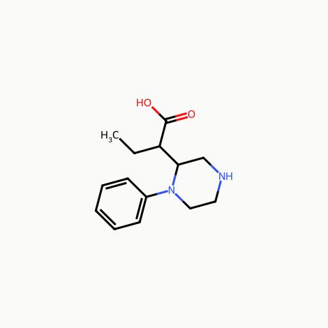 CCC(C(=O)O)C1CNCCN1c1ccccc1